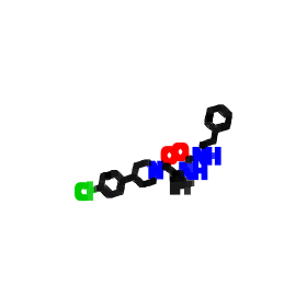 CC(C)[C@@H](NC(=O)NCCc1ccccc1)C(=O)N1CCC(c2ccc(Cl)cc2)CC1